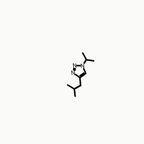 CC(C)Cc1cn(C(C)C)nn1